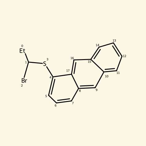 CCC(Br)Sc1cccc2cc3ccccc3cc12